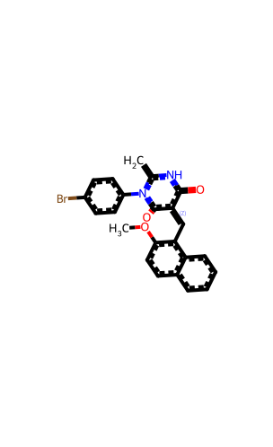 C=c1[nH]c(=O)/c(=C/c2c(OC)ccc3ccccc23)c(=O)n1-c1ccc(Br)cc1